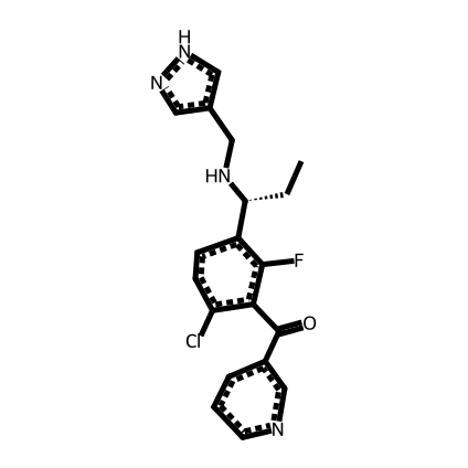 CC[C@@H](NCc1cn[nH]c1)c1ccc(Cl)c(C(=O)c2cccnc2)c1F